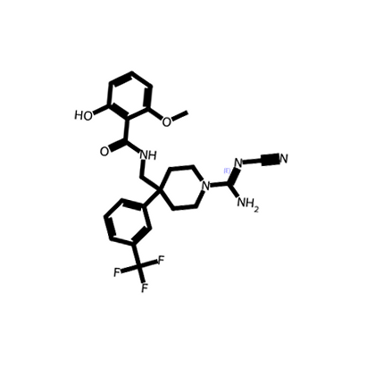 COc1cccc(O)c1C(=O)NCC1(c2cccc(C(F)(F)F)c2)CCN(/C(N)=N/C#N)CC1